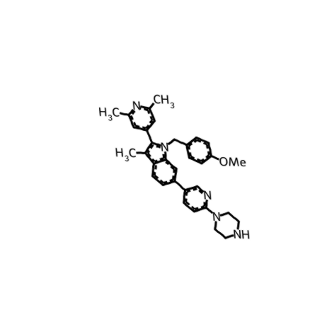 COc1ccc(Cn2c(-c3cc(C)nc(C)c3)c(C)c3ccc(-c4ccc(N5CCNCC5)nc4)cc32)cc1